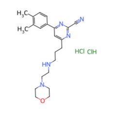 Cc1ccc(-c2cc(CCCNCCN3CCOCC3)nc(C#N)n2)cc1C.Cl.Cl